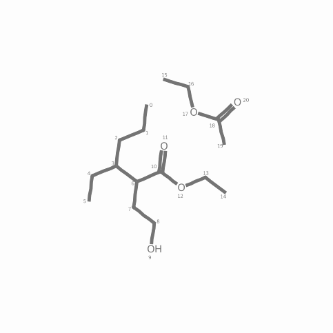 CCCC(CC)C(CCO)C(=O)OCC.CCOC(C)=O